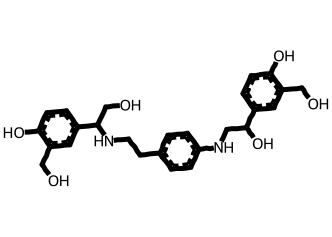 OCc1cc(C(O)CNc2ccc(CCNC(CO)c3ccc(O)c(CO)c3)cc2)ccc1O